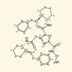 CCCONC(=O)c1cc(C(=O)N[C@H]2CCCC[C@@H]2OCc2ccccc2)n(CC(=O)N[C@H]2CCCC[C@@H]2OCc2ccccc2)n1